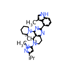 Cc1c[nH]c2cccc(-c3nc4c(c(N5CCCC[C@@H]5C)n3)CN(c3cc(C(C)C)nn3C)CC4)c12